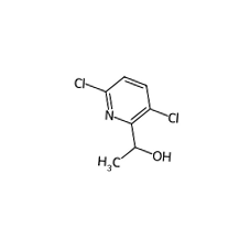 CC(O)c1nc(Cl)ccc1Cl